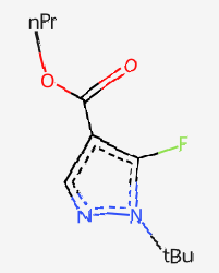 CCCOC(=O)c1cnn(C(C)(C)C)c1F